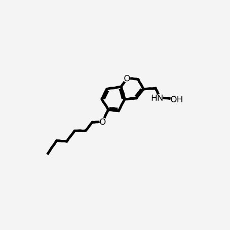 CCCCCCOc1ccc2c(c1)C=C(CNO)CO2